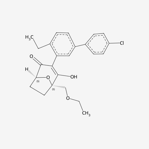 CCOC[C@]12CC[C@H](O1)C(=O)C(c1cc(-c3ccc(Cl)cc3)ccc1CC)=C2O